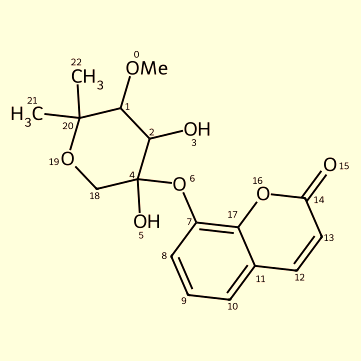 COC1C(O)C(O)(Oc2cccc3ccc(=O)oc23)COC1(C)C